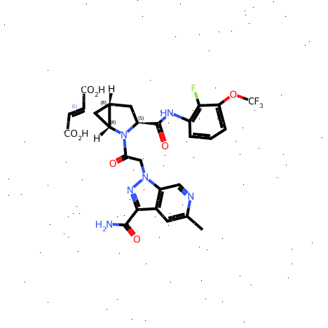 Cc1cc2c(C(N)=O)nn(CC(=O)N3[C@@H]4C[C@@H]4C[C@H]3C(=O)Nc3cccc(OC(F)(F)F)c3F)c2cn1.O=C(O)/C=C/C(=O)O